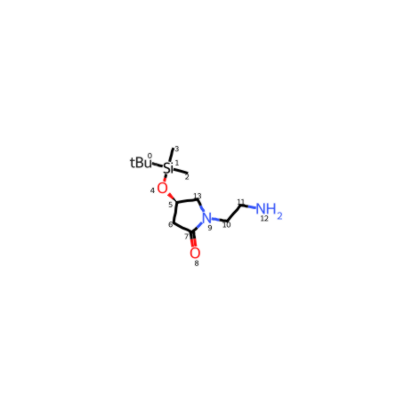 CC(C)(C)[Si](C)(C)O[C@@H]1CC(=O)N(CCN)C1